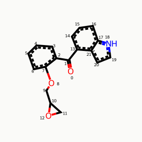 O=C(c1ccccc1OCC1CO1)c1cccc2[nH]ccc12